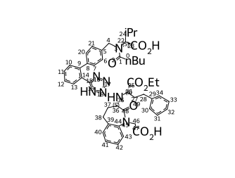 CCCCC(=O)N(Cc1ccc(-c2ccccc2-c2nnn[nH]2)cc1)[C@H](C(=O)O)C(C)C.CCOC(=O)[C@H](CCc1ccccc1)N[C@H]1CCc2ccccc2N(CC(=O)O)C1=O